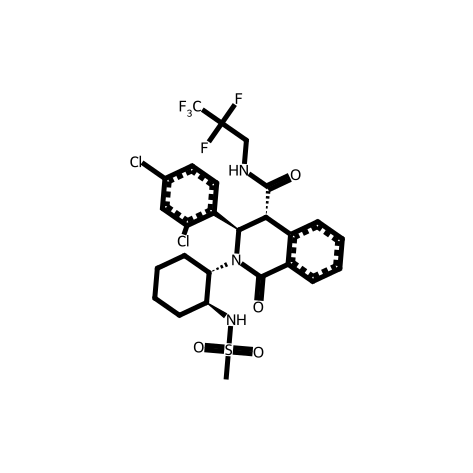 CS(=O)(=O)N[C@H]1CCCC[C@@H]1N1C(=O)c2ccccc2[C@@H](C(=O)NCC(F)(F)C(F)(F)F)[C@@H]1c1ccc(Cl)cc1Cl